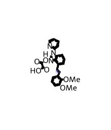 COc1cccc(/C=C/c2cccc3c2ncn3-c2ccccn2)c1OC.O=C(O)C(=O)O